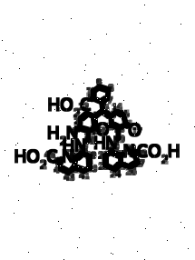 Nc1ccc2c(-c3ccccc3C(=O)O)c3ccc(=O)c(CNc4cccc5ccc(C(=O)O)nc45)c-3oc2c1CNc1cccc2ccc(C(=O)O)nc12